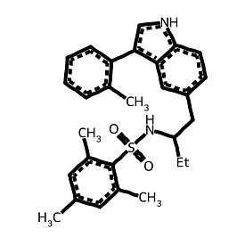 CCC(Cc1ccc2[nH]cc(-c3ccccc3C)c2c1)NS(=O)(=O)c1c(C)cc(C)cc1C